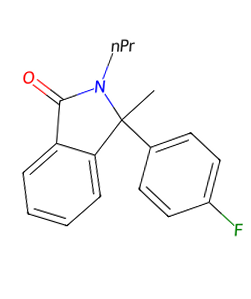 CCCN1C(=O)c2ccccc2C1(C)c1ccc(F)cc1